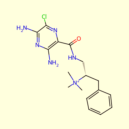 C[N+](C)(C)[C@H](CNC(=O)c1nc(Cl)c(N)nc1N)Cc1ccccc1